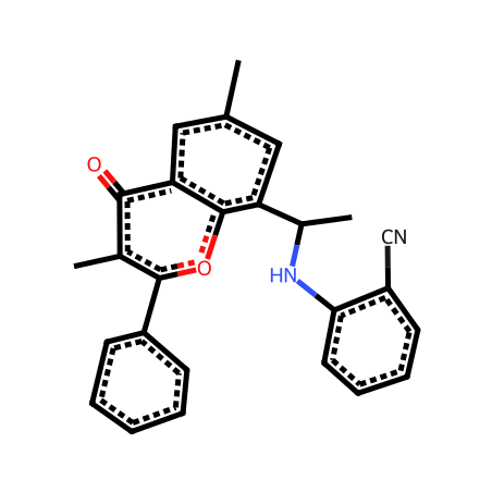 Cc1cc(C(C)Nc2ccccc2C#N)c2oc(-c3ccccc3)c(C)c(=O)c2c1